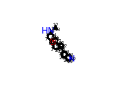 C[C@@]12CC=C3C=C4CCC(NC5CC5)C[C@]45CC[C@]3(O5)[C@@H]1CCC2c1ccc2ccncc2c1